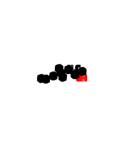 Cc1ccccc1-c1cc(-c2cccc(-c3c4ccccc4c(-c4ccc(-c5ccc6ccccc6c5)cc4)c4ccccc34)c2)ccc1O